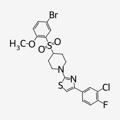 COc1ccc(Br)cc1S(=O)(=O)C1CCN(c2nc(-c3ccc(F)c(Cl)c3)cs2)CC1